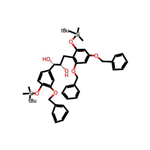 CC(C)(C)[Si](C)(C)Oc1ccc([C@H](O)[C@@H](O)Cc2c(OCc3ccccc3)cc(OCc3ccccc3)cc2O[Si](C)(C)C(C)(C)C)cc1OCc1ccccc1